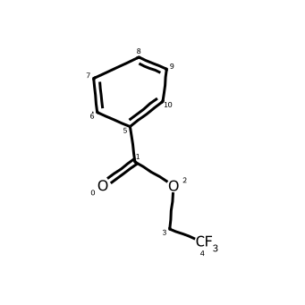 O=C(OCC(F)(F)F)c1[c]cccc1